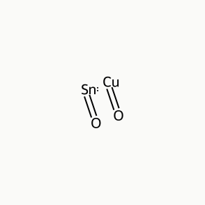 [O]=[Cu].[O]=[Sn]